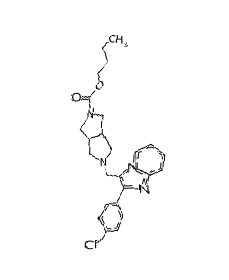 CCCCOC(=O)N1CC2CN(Cc3c(-c4ccc(Cl)cc4)nc4ccccn34)CC2C1